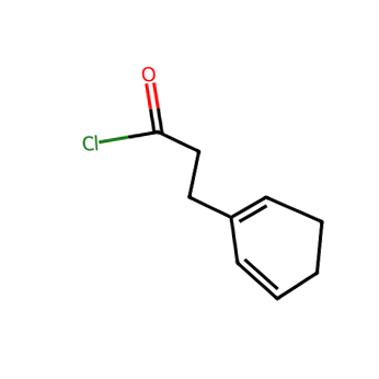 O=C(Cl)CCC1=CCCC=C1